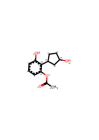 CC(=O)Oc1cccc(O)c1C1CCC(O)C1